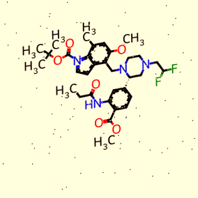 CCC(=O)Nc1cc([C@H]2CN(CC(F)F)CCN2Cc2c(OC)cc(C)c3c2ccn3C(=O)OC(C)(C)C)ccc1C(=O)OC